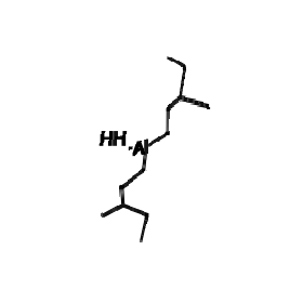 CCC(C)C[CH2][Al][CH2]CC(C)CC.[HH]